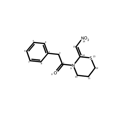 O=C(Cc1ccccc1)N1CCCSC1=C[N+](=O)[O-]